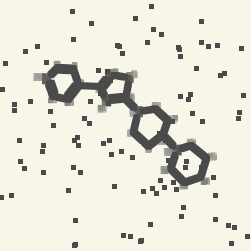 c1cc(-c2nsc(N3CCC(N4CCCCC4)CC3)n2)ccn1